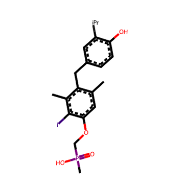 Cc1cc(OCP(C)(=O)O)c(I)c(C)c1Cc1ccc(O)c(C(C)C)c1